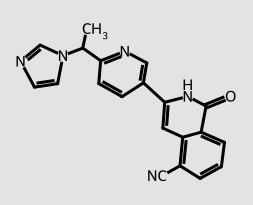 CC(c1ccc(-c2cc3c(C#N)cccc3c(=O)[nH]2)cn1)n1ccnc1